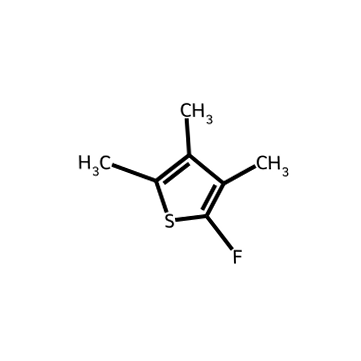 Cc1sc(F)c(C)c1C